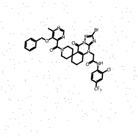 Cc1ncnc(C(=O)N2CCC3(CCCc4c3c(=O)n3nc(Br)nc3n4CC(=O)Nc3ccc(C(F)(F)F)cc3Cl)CC2)c1OCc1ccccc1